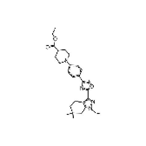 CCOC(=O)C1CCN(c2ccc(-c3noc(-c4nn(CC)c5c4CCC(C)(C)C5)n3)cc2)CC1